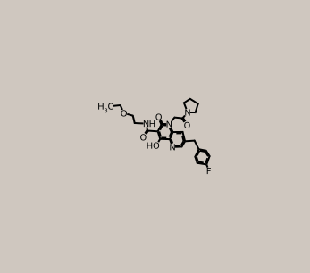 CCOCCNC(=O)c1c(O)c2ncc(Cc3ccc(F)cc3)cc2n(CC(=O)N2CCCC2)c1=O